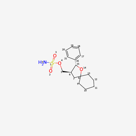 NS(=O)(=O)OC[C@@H]1CC2(CCCCC2)O[C@H]1c1ccccc1